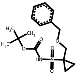 CC(C)(C)OC(=O)NS(=O)(=O)C1(COCc2ccccc2)CC1